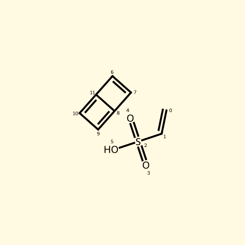 C=CS(=O)(=O)O.c1cc2ccc1-2